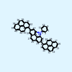 c1ccc(-n2c3cc(-c4ccc5ccc6cccc7ccc4c5c67)cc4ccc5cc(-c6ccc7ccc8cccc9ccc6c7c89)cc2c5c43)cc1